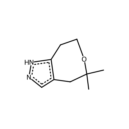 CC1(C)Cc2cn[nH]c2CCO1